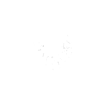 CC(C)NC(=O)c1cnc(NC(C(=O)N2CCC(O)(c3ccc(Cl)cc3)C(C)(C)C2)C(C)C)s1